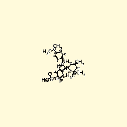 CC(C)c1ccc(Nc2nc3cc(CC(=O)O)c(F)cc3n2[C@H]2C[C@H](C)CC(C)(C)C2)cc1